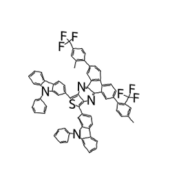 Cc1ccc(-c2ccc3c4ccc(-c5ccc(C(F)(F)F)cc5C)cc4c4nc5c(-c6ccc7c8ccccc8n(-c8ccccc8)c7c6)sc(-c6ccc7c8ccccc8n(-c8ccccc8)c7c6)c5nc4c3c2)c(C(F)(F)F)c1